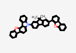 CC1(C)c2cc(-c3cccc4c3oc3ccccc34)ccc2-c2ccc(-n3c4ccccc4c4c5oc6ccccc6c5ccc43)cc21